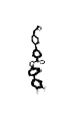 O=C(Oc1ccc(-c2ccc(F)c(F)c2)cc1)c1ccc(C2CCC(CC3CO3)CC2)cc1